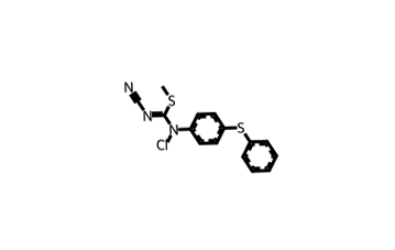 CSC(=NC#N)N(Cl)c1ccc(Sc2ccccc2)cc1